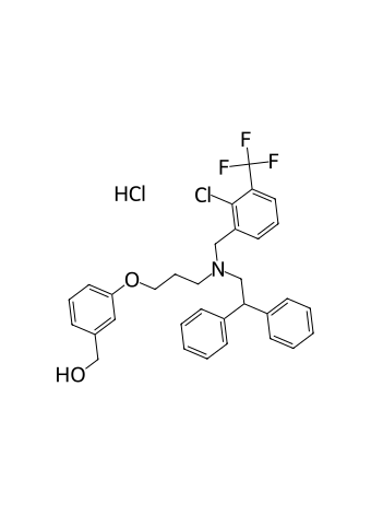 Cl.OCc1cccc(OCCCN(Cc2cccc(C(F)(F)F)c2Cl)CC(c2ccccc2)c2ccccc2)c1